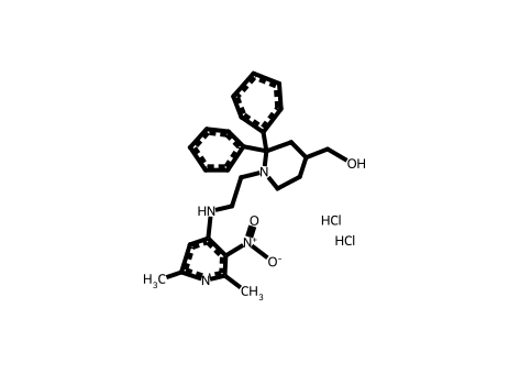 Cc1cc(NCCN2CCC(CO)CC2(c2ccccc2)c2ccccc2)c([N+](=O)[O-])c(C)n1.Cl.Cl